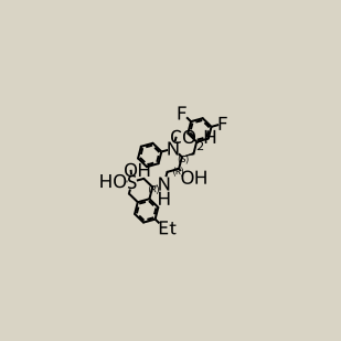 CCc1ccc2c(c1)[C@@H](NC[C@@H](O)[C@H](Cc1cc(F)cc(F)c1)N(C(=O)O)c1ccccc1)CS(O)(O)C2